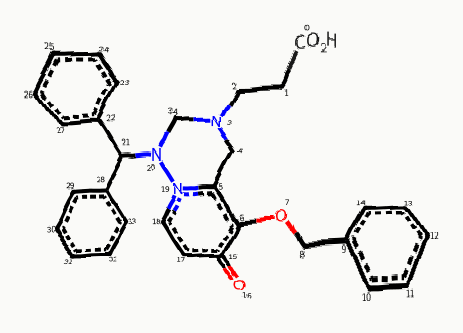 O=C(O)CCN1Cc2c(OCc3ccccc3)c(=O)ccn2N(C(c2ccccc2)c2ccccc2)C1